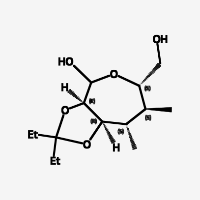 CCC1(CC)O[C@@H]2[C@@H](C)[C@H](C)[C@@H](CO)OC(O)[C@@H]2O1